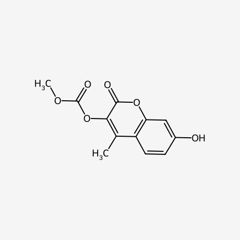 COC(=O)Oc1c(C)c2ccc(O)cc2oc1=O